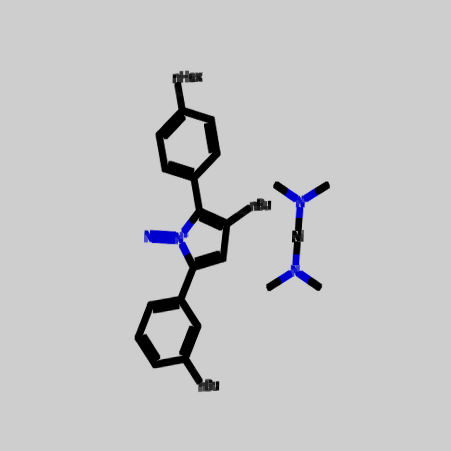 CCCCCCc1ccc(C2=C(CCCC)C=C(c3cccc(CCCC)c3)[N+]2=[N-])cc1.C[N](C)[Ni][N](C)C